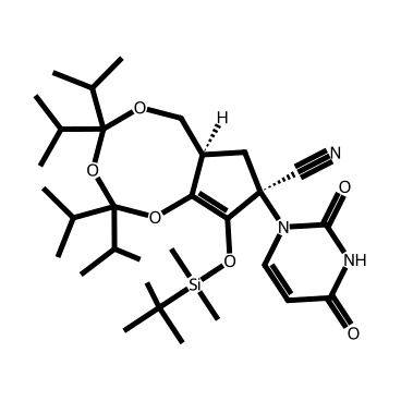 CC(C)C1(C(C)C)OC[C@H]2C[C@@](C#N)(n3ccc(=O)[nH]c3=O)C(O[Si](C)(C)C(C)(C)C)=C2OC(C(C)C)(C(C)C)O1